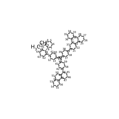 CC1(C)c2ccccc2-c2c(-c3ccc(N(c4ccc(-c5ccc(-c6ccccc6)c(-c6ccccc6)c5)cc4)c4ccc(-c5cccc6c5ccc5ccccc56)cc4)cc3)cccc21